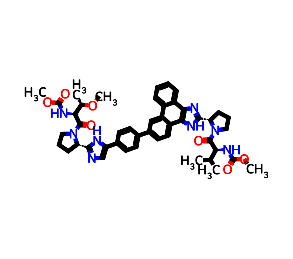 COC(=O)N[C@H](C(=O)N1CCC[C@H]1c1nc2c3ccccc3c3cc(-c4ccc(-c5cnc([C@@H]6CCCN6C(=O)[C@@H](NC(=O)OC)[C@@H](C)OC)[nH]5)cc4)ccc3c2[nH]1)C(C)C